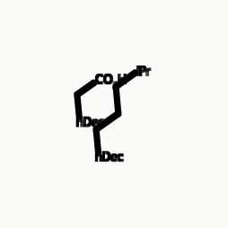 CCCCCCCCCCCC(=O)O.CCCCCCCCCCCCCC(C)C